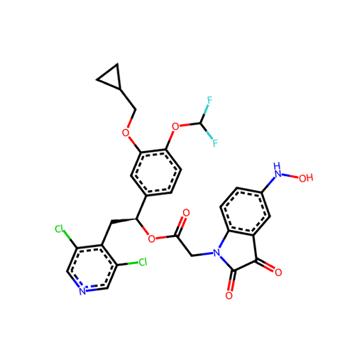 O=C(CN1C(=O)C(=O)c2cc(NO)ccc21)O[C@@H](Cc1c(Cl)cncc1Cl)c1ccc(OC(F)F)c(OCC2CC2)c1